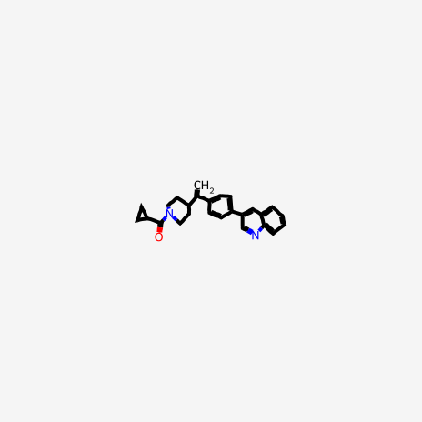 C=C(c1ccc(-c2cnc3ccccc3c2)cc1)C1CCN(C(=O)C2CC2)CC1